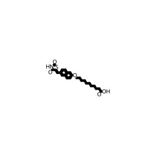 O=C(O)CCCCCCCCCCOc1ccc2cc(/C=C3\SC(=O)NC3=O)ccc2c1